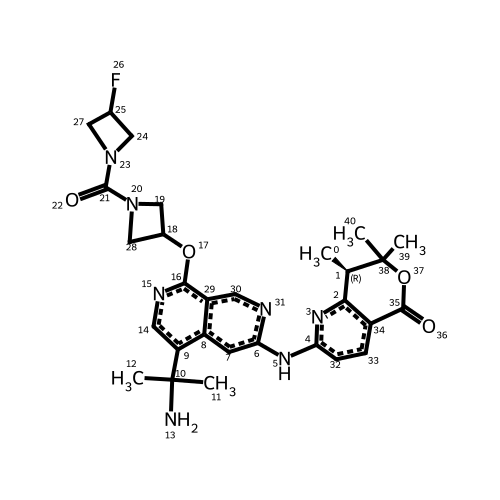 C[C@@H]1c2nc(Nc3cc4c(C(C)(C)N)cnc(OC5CN(C(=O)N6CC(F)C6)C5)c4cn3)ccc2C(=O)OC1(C)C